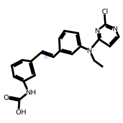 CCN(c1cccc(/C=C/c2cccc(NC(=O)O)c2)c1)c1ccnc(Cl)n1